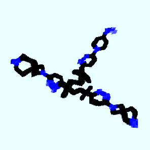 CC(C)(CCC(C)(CCC(C)(C)c1ccc(N2CC3(CCNC3)C2)nn1)c1ccc(N2CC3(CCNCC3)C2)nn1)c1ccc(N2CCC(N)CC2)nn1